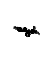 COc1ncc(-n2nc(-c3ccnc(CN4CCN(C)CC4)c3)c3c2CCOCC3)cc1C